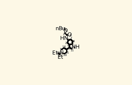 CCCCOCC(=O)Nc1ccc2[nH]cc(C3=CCN(C(CC)CC)CC3)c2c1